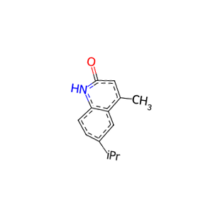 Cc1cc(=O)[nH]c2ccc(C(C)C)cc12